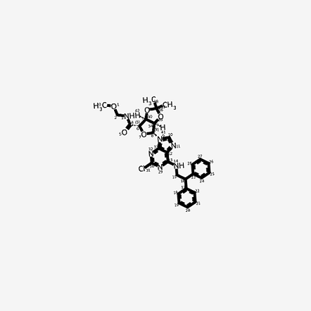 COCNC(=O)[C@H]1O[C@@H](n2cnc3c(NCC(c4ccccc4)c4ccccc4)nc(Cl)nc32)[C@@H]2OC(C)(C)O[C@@H]21